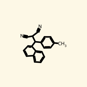 Cc1ccc(C(c2cccc3ccccc23)C(C#N)C#N)cc1